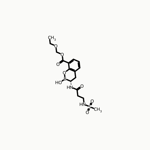 CCOCOC(=O)c1cccc2c1OB(O)[C@@H](NC(=O)CCNS(C)(=O)=O)C2